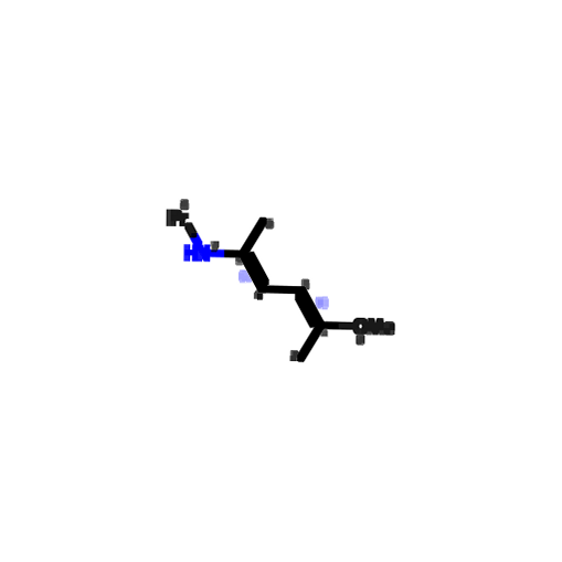 CO/C(C)=C/C=C(\C)NC(C)C